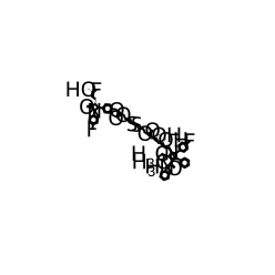 CC(C)c1c(C(=O)Nc2ccccc2)c(-c2ccccc2)c(-c2ccc(F)cc2)n1CC[C@@H](O)C[C@@H](O)CC(=O)OCCSSCCOC(=O)Oc1ccc(C2[C@@H](CC[C@H](O)F)C(=O)N2c2ccc(F)cc2)cc1